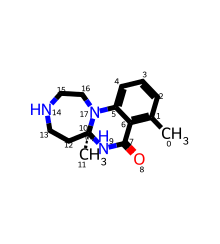 Cc1cccc2c1C(=O)N[C@@]1(C)CCNCCN21